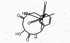 O=C1CC(O)C(=O)NCc2ccc3c(c2C(=O)C(O)CC3=O)CN1